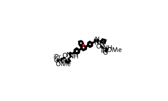 COC(=O)NC(C(=O)N1CCC[C@H]1c1ncc(-c2ccc(-c3ccc(-c4ccc(-c5cnc([C@@H]6CCCN6C(=O)[C@@H](NC(=O)OC)C(C)C)[nH]5)cc4)c4c3C3CCC4C3)cc2)[nH]1)C(C)C